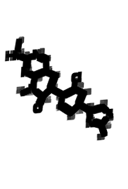 CNc1ncc2cc(-c3ccc(-c4csc(C)n4)cc3Cl)c(=O)n(C)c2n1